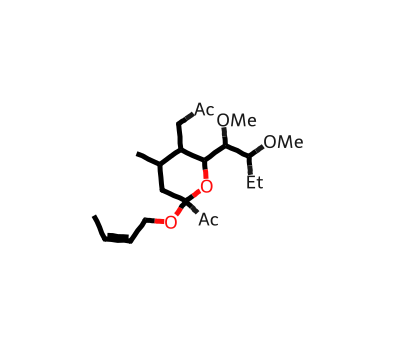 C/C=C\COC1(C(C)=O)CC(C)C(CC(C)=O)C(C(OC)C(CC)OC)O1